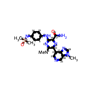 CNc1nc(Nc2ccc(N=S(C)(C)=O)cc2)c(C(N)=O)nc1-c1cncc2c1ncn2C